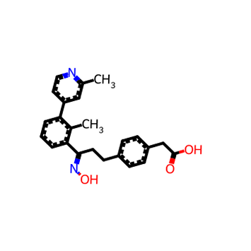 Cc1cc(-c2cccc(/C(CCc3ccc(CC(=O)O)cc3)=N/O)c2C)ccn1